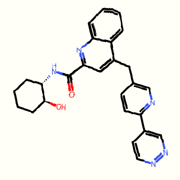 O=C(N[C@H]1CCCC[C@@H]1O)c1cc(Cc2ccc(-c3ccnnc3)nc2)c2ccccc2n1